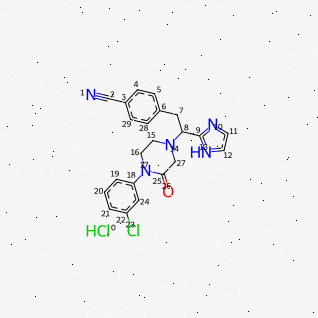 Cl.N#Cc1ccc(CC(c2ncc[nH]2)N2CCN(c3cccc(Cl)c3)C(=O)C2)cc1